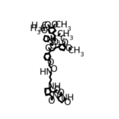 CC[C@H](C(=O)N1CCCC[C@H]1C(=O)OC(CCc1ccc(OC)c(OC)c1)c1cccc(OCC(=O)NCCCCNc2cccc3c2C(=O)N(C2CCC(=O)NC2=O)C3=O)c1)c1cc(OC)c(OC)c(OC)c1